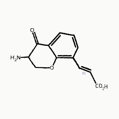 NC1COc2c(/C=C/C(=O)O)cccc2C1=O